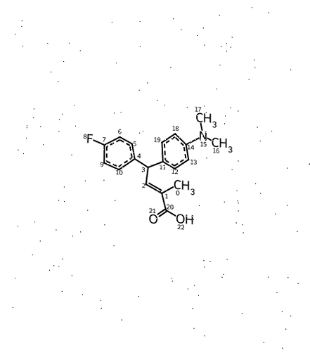 CC(=CC(c1ccc(F)cc1)c1ccc(N(C)C)cc1)C(=O)O